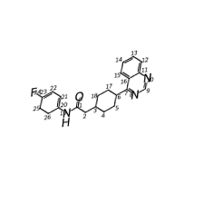 O=C(CC1CCC(c2ncnc3ccccc23)CC1)NC1=CC=C(F)CC1